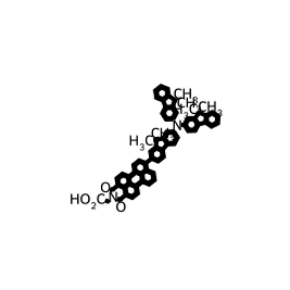 CC1(C)c2ccccc2-c2ccc(N(c3ccc4c(c3)C(C)(C)c3ccccc3-4)c3ccc4c(c3)C(C)(C)c3cc(-c5ccc6c7ccc8c9c(ccc(c%10cccc5c%106)c97)C(=O)N(CC(=O)O)C8=O)ccc3-4)cc21